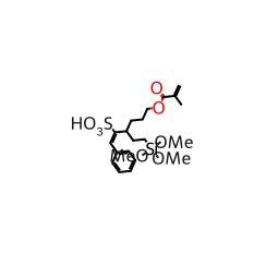 C=C(C)C(=O)OCCCC(CC[Si](OC)(OC)OC)C(=Cc1ccccc1)S(=O)(=O)O